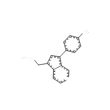 N#Cc1ccc(-c2cc(CC(=O)O)c3ccocc2-3)cc1